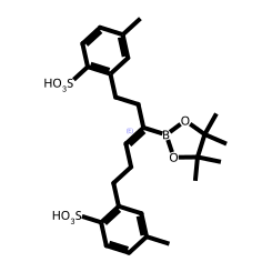 Cc1ccc(S(=O)(=O)O)c(CC/C=C(/CCc2cc(C)ccc2S(=O)(=O)O)B2OC(C)(C)C(C)(C)O2)c1